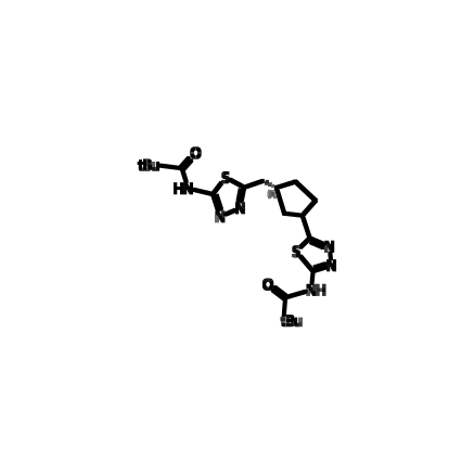 CC(C)(C)C(=O)Nc1nnc(C[C@@H]2CCC(c3nnc(NC(=O)C(C)(C)C)s3)C2)s1